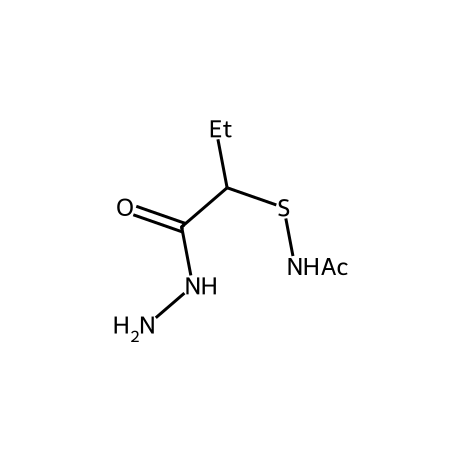 CCC(SNC(C)=O)C(=O)NN